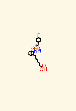 O=C(O)CCC/C=C/CC1C2CCC(CC2)C1NS(=O)(=O)/C=C/c1ccc(F)cc1